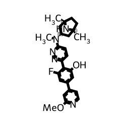 COc1cc(-c2cc(O)c(-c3ccc(N(C)[C@@H]4C[C@]5(C)CC[C@](C)(C4)N5)nn3)c(F)c2)ccn1